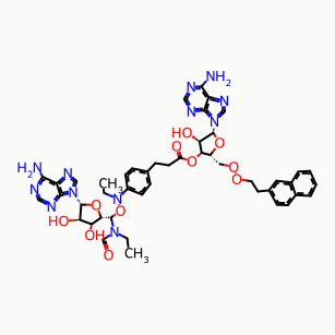 CCN(OC([C@H]1O[C@@H](n2cnc3c(N)ncnc32)[C@H](O)[C@@H]1O)N(C=O)CC)c1ccc(CCC(=O)O[C@H]2[C@@H](O)[C@H](n3cnc4c(N)ncnc43)O[C@@H]2COOCCc2ccc3ccccc3c2)cc1